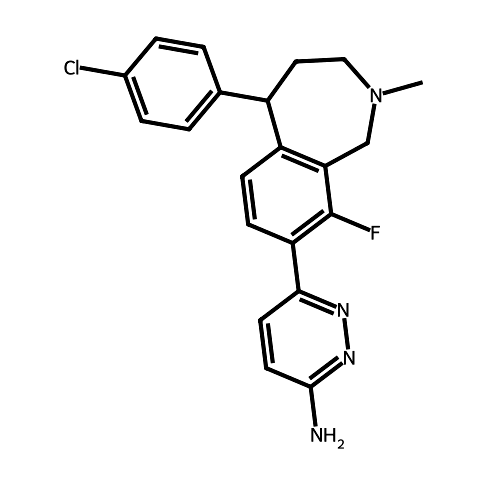 CN1CCC(c2ccc(Cl)cc2)c2ccc(-c3ccc(N)nn3)c(F)c2C1